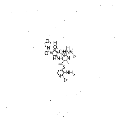 C=C(Sc1ccnc(C2CC2)c1N)c1c(C)nc(N[C@H](C)C2CC2)nc1N[C@@H]1C[C@H](C(=O)N2CCOCC2)[C@@H](O)[C@H]1O